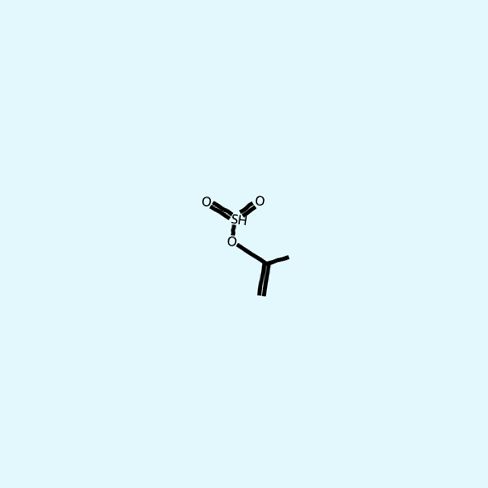 C=C(C)O[SH](=O)=O